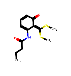 CCCC(=O)NC1=CC=CC(=O)C1=C(SC)SC